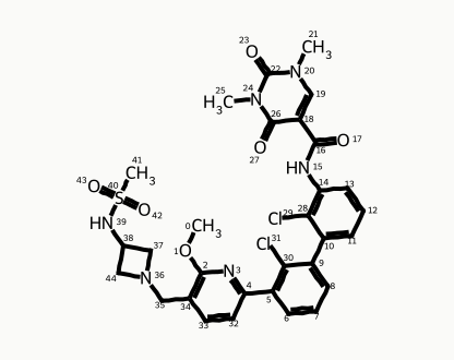 COc1nc(-c2cccc(-c3cccc(NC(=O)c4cn(C)c(=O)n(C)c4=O)c3Cl)c2Cl)ccc1CN1CC(NS(C)(=O)=O)C1